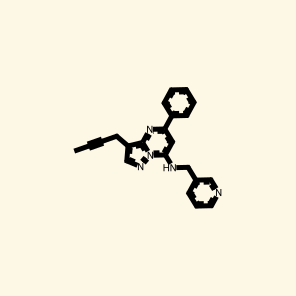 CC#CCc1cnn2c(NCc3cccnc3)cc(-c3ccccc3)nc12